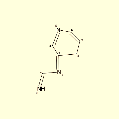 N=CN=C1C=NC=CC1